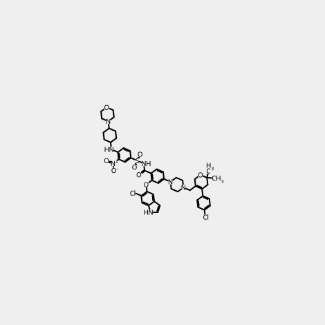 CC1(C)CC(c2ccc(Cl)cc2)=C(CN2CCN(c3ccc(C(=O)NS(=O)(=O)c4ccc(NC5CCC(N6CCOCC6)CC5)c([N+](=O)[O-])c4)c(Oc4cc5cc[nH]c5cc4Cl)c3)CC2)CO1